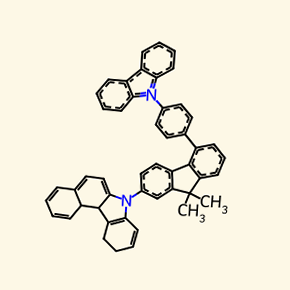 CC1(C)c2cc(N3C4=CC=C5C=CC=CC5C4C4=C3C=CCC4)ccc2-c2c(-c3ccc(-n4c5ccccc5c5ccccc54)cc3)cccc21